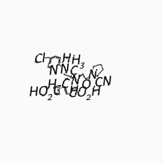 CC(C)(CNc1ccc(Cl)cn1)NCC(=O)N1CCC[C@H]1C#N.O=C(O)/C=C/C(=O)O